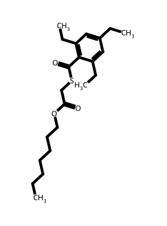 CCCCCCCOC(=O)CSC(=O)c1c(CC)cc(CC)cc1CC